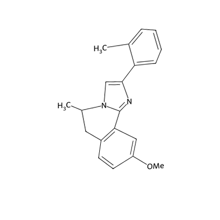 COc1ccc2c(c1)-c1nc(-c3ccccc3C)cn1C(C)C2